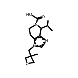 CC(C)C1c2ncn(CC3(C)COC3)c2CCN1C(=O)O